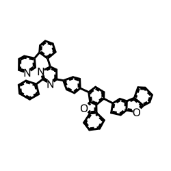 c1ccc(-c2nc(-c3ccc(-c4ccc(-c5ccc6oc7ccccc7c6c5)c5c4oc4ccccc45)cc3)cc(-c3ccccc3-c3cccnc3)n2)cc1